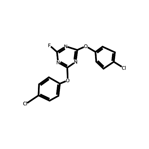 Fc1nc(Oc2ccc(Cl)cc2)nc(Oc2ccc(Cl)cc2)n1